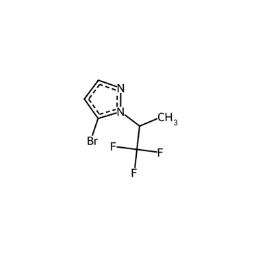 CC(n1nccc1Br)C(F)(F)F